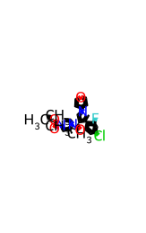 C[C@H]1CN(C(=O)OC(C)(C)C)CCN1C(=O)[C@@H]1CN(C2CCOCC2)C[C@H]1c1ccc(Cl)cc1F